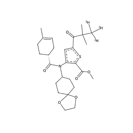 [2H]C([2H])([2H])C(C)(C)C(=O)c1cc(N(C(=O)[C@H]2CC=C(C)CC2)C2CCC3(CC2)OCCO3)c(C(=O)OC)s1